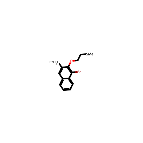 CCOC(=O)c1cc2ccccc2c(Br)c1OCCSC